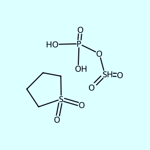 O=S1(=O)CCCC1.O=[SH](=O)OP(=O)(O)O